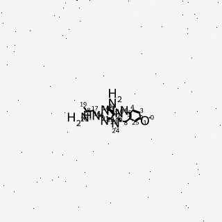 COc1ccc(N)c(Cc2nc3c(N)nc(NCC(C)N)nc3n2C)c1